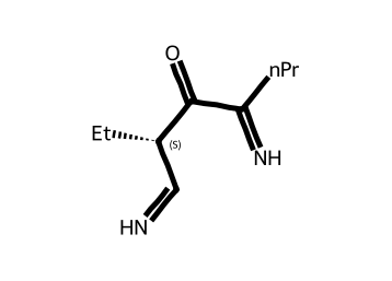 CCCC(=N)C(=O)[C@H](C=N)CC